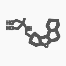 CC(CO)(CO)NCc1ccc2oc3ccc4ccccc4c3c2c1